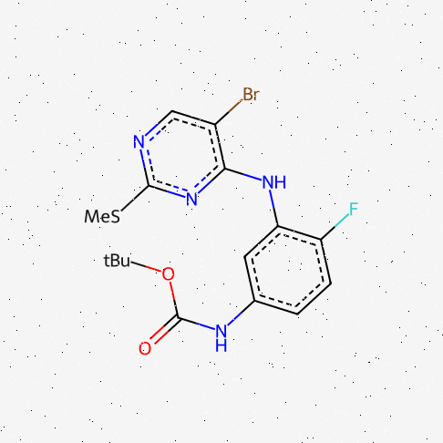 CSc1ncc(Br)c(Nc2cc(NC(=O)OC(C)(C)C)ccc2F)n1